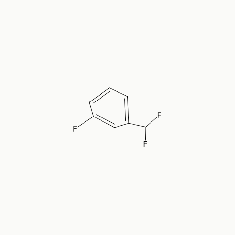 Fc1cccc(C(F)F)c1